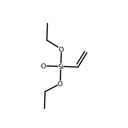 C=C[Si]([O])(OCC)OCC